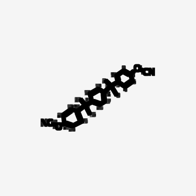 CC(C)(c1ccc(OC#N)cc1)c1ccc(C(C)(C)c2ccc(OC#N)cc2)cc1